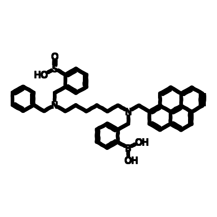 O=S(O)c1ccccc1CN(CCCCCCN(Cc1ccccc1B(O)O)Cc1ccc2ccc3c#ccc4ccc1c2c34)Cc1ccccc1